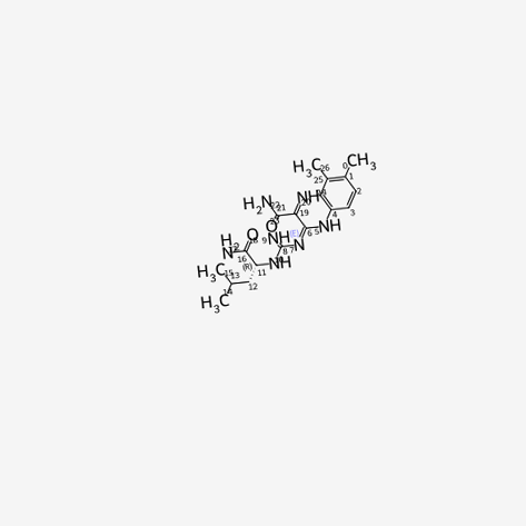 Cc1ccc(N/C(=N/C(=N)N[C@H](CC(C)C)C(N)=O)C(=N)C(N)=O)cc1C